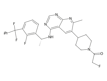 Cc1nc2ncnc(N[C@H](C)c3cccc(C(F)(F)C(C)C)c3F)c2cc1C1CCN(C(=O)CF)CC1